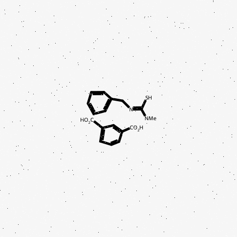 CNC(S)=NCc1ccccc1.O=C(O)c1cccc(C(=O)O)c1